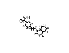 O=C(O)c1ccc(N=Cc2cccc3ccccc23)cc1